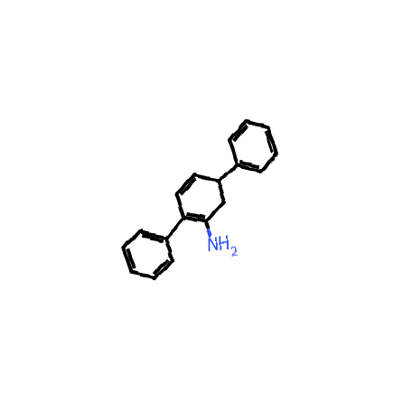 NC1=C(c2ccccc2)C=CC(c2ccccc2)C1